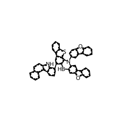 B1c2cc3oc4ccccc4c3cc2N(c2ccc3oc4ccccc4c3c2)c2c1c(-c1cccc3c1[nH]c1ccc4ccccc4c13)cc1c2sc2ccccc21